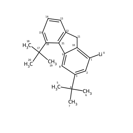 [Li][c]1cc(C(C)(C)C)cc2c1Cc1cccc(C(C)(C)C)c1-2